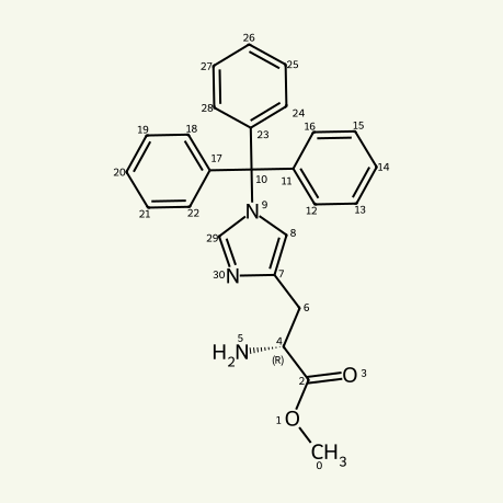 COC(=O)[C@H](N)Cc1cn(C(c2ccccc2)(c2ccccc2)c2ccccc2)cn1